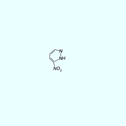 O=[N+]([O-])C1=CC=C[N]N1